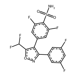 NS(=O)(=O)c1c(F)cc(-c2c(-c3cc(F)cc(F)c3)noc2C(F)F)cc1F